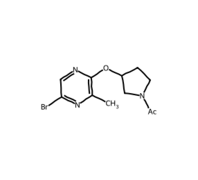 CC(=O)N1CCC(Oc2ncc(Br)nc2C)C1